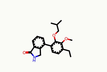 CCc1ccc(-c2cccc3c2CNC3=O)c(OCC(C)C)c1OC